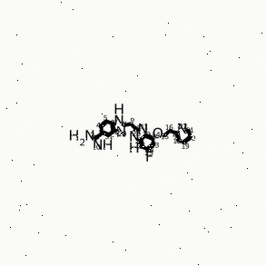 N=C(N)c1ccc2[nH]c(Cc3nc4c(OCCc5ccccn5)cc(F)cc4[nH]3)nc2c1